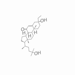 CC[C@]1(O)CC[C@@]2(C)C(=CC(=O)[C@H]3[C@@H]4CC[C@H]([C@H](C)CCC(C)(C)O)[C@@]4(C)CC[C@@H]32)C1